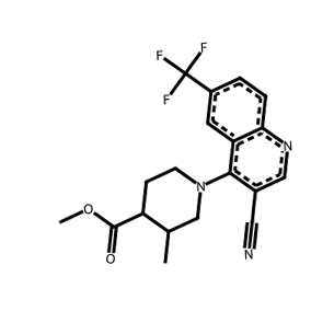 COC(=O)C1CCN(c2c(C#N)cnc3ccc(C(F)(F)F)cc23)CC1C